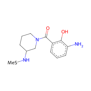 CSNC1CCCN(C(=O)c2cccc(N)c2O)C1